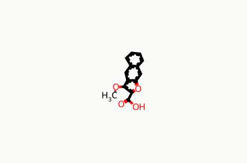 COc1c(C(=O)O)oc2cc3ccccc3cc12